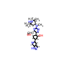 CN(c1ncc(-c2ccc(-c3cc4cn[nH]c4cn3)cc2O)nn1)C1CC(C)(C)NC(C)(C)C1.O=CO